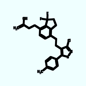 C=C(O)CCc1ccc(CCc2c(Cl)nsc2-c2ccc(C)cc2)c2c1C(F)(F)CC2